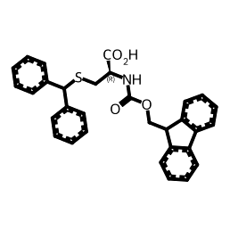 O=C(N[C@@H](CSC(c1ccccc1)c1ccccc1)C(=O)O)OCC1c2ccccc2-c2ccccc21